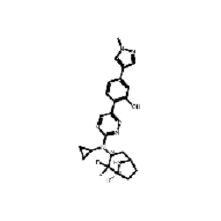 Cn1cc(-c2ccc(-c3cnc(N(C4CC4)[C@H]4CC5CC[C@H](N5)C4(F)F)nn3)c(O)c2)cn1